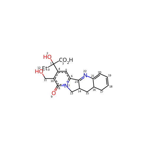 CCC(O)(C(=O)O)c1cc2n(c(=O)c1CO)CC1CC3CC=CC=C3N=C21